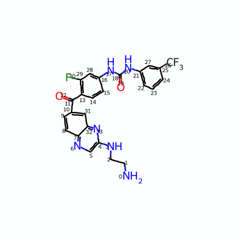 NCCNc1cnc2ccc(C(=O)c3ccc(NC(=O)Nc4cccc(C(F)(F)F)c4)cc3F)cc2n1